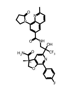 Cc1ccc2cc(C(=O)NCC(O)(c3cc4c(c(-c5ccc(F)cc5)n3)OC[C@]4(C)C(N)=O)C(F)(F)F)cc(N3CCCC3=O)c2n1